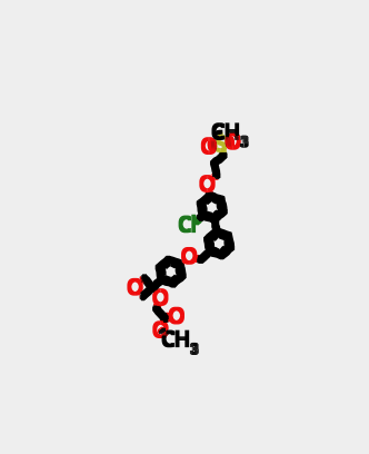 COC(=O)COC1(c2ccc(OCc3cccc(-c4ccc(OCCCS(C)(=O)=O)cc4Cl)c3)cc2)COC1